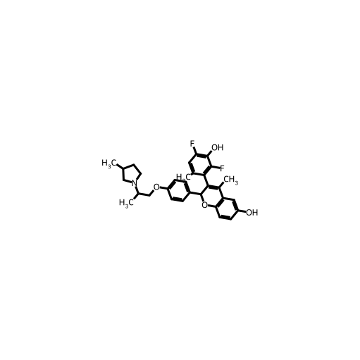 CC1=C(c2c(C)cc(F)c(O)c2F)C(c2ccc(OCC(C)N3CCC(C)C3)cc2)Oc2ccc(O)cc21